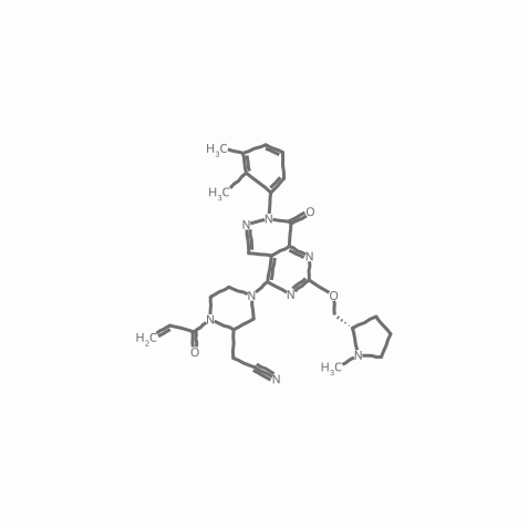 C=CC(=O)N1CCN(c2nc(OC[C@@H]3CCCN3C)nc3c(=O)n(-c4cccc(C)c4C)ncc23)CC1CC#N